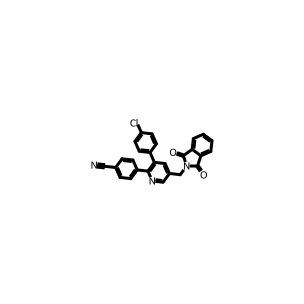 N#Cc1ccc(-c2ncc(CN3C(=O)c4ccccc4C3=O)cc2-c2ccc(Cl)cc2)cc1